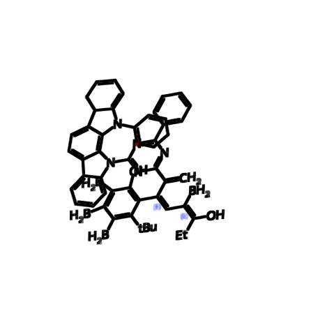 BC(/C=C(\C(=C)c1nc(-c2ccccc2)nc(-n2c3ccccc3c3ccc4c(c32)N(C2=CCCC=C2)C2=CC=CCC24)n1)c1c(O)c(B)c(B)c(B)c1C(C)(C)C)=C(\O)CC